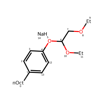 CCCCCCCCc1ccc(OC(COCC)OCC)cc1.[NaH]